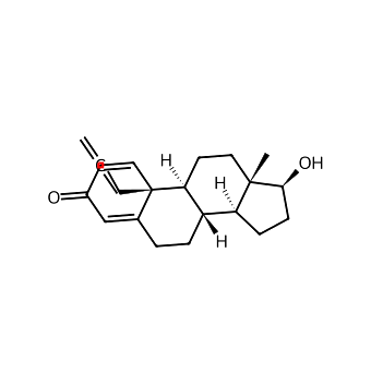 C=C=C[C@]12C=CC(=O)C=C1CC[C@@H]1[C@@H]2CC[C@]2(C)[C@@H](O)CC[C@@H]12